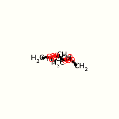 C=CCCOC(=O)OOOC(C)(C)CCC(C)(C)OOOC(=O)OCCC=C